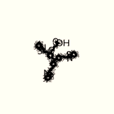 O=C(O)CCCOc1cc(N(c2ccc(C=Cc3nc4ccccc4s3)cc2)c2ccc(C=Cc3nc4ccccc4s3)cc2)ccc1C=Cc1nc2ccccc2s1